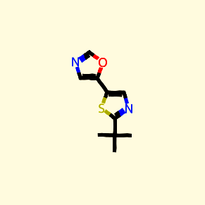 CC(C)(C)c1ncc(-c2cnco2)s1